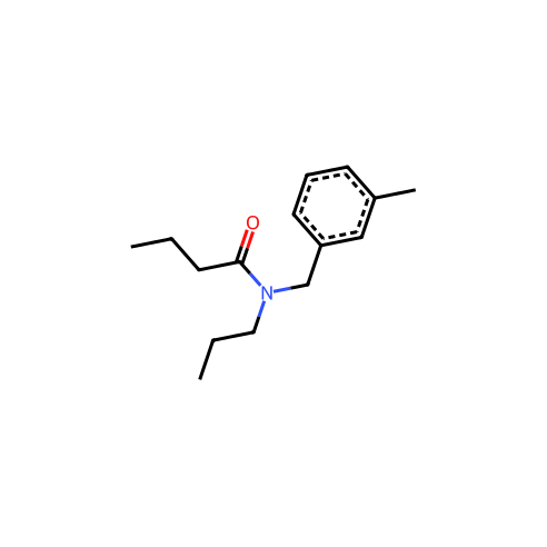 CCCC(=O)N(CCC)Cc1cccc(C)c1